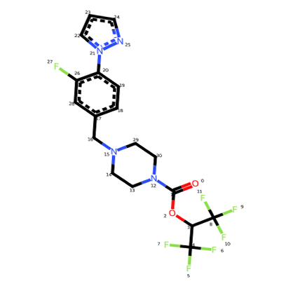 O=C(OC(C(F)(F)F)C(F)(F)F)N1CCN(Cc2ccc(-n3cccn3)c(F)c2)CC1